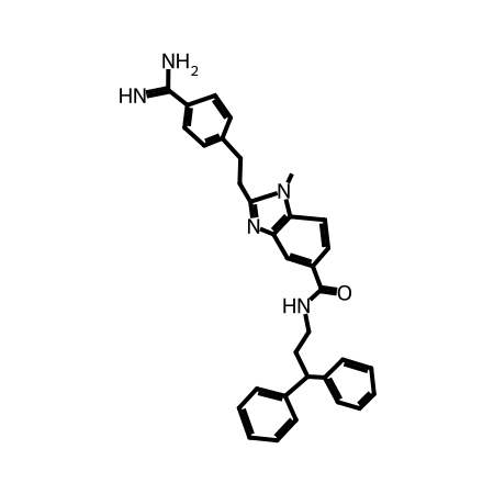 Cn1c(CCc2ccc(C(=N)N)cc2)nc2cc(C(=O)NCCC(c3ccccc3)c3ccccc3)ccc21